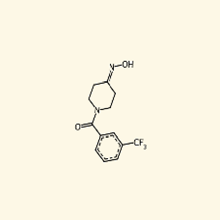 O=C(c1cccc(C(F)(F)F)c1)N1CCC(=NO)CC1